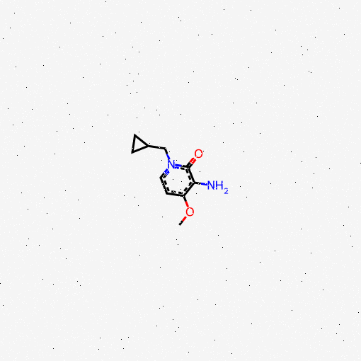 COc1ccn(CC2CC2)c(=O)c1N